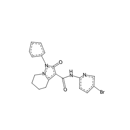 O=C(Nc1ccc(Br)cn1)c1c2n(n(-c3ccccc3)c1=O)CCCC2